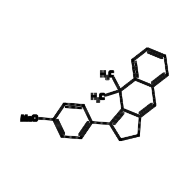 COc1ccc(C2=C3C(=Cc4ccccc4C3(C)C)CC2)cc1